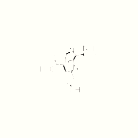 COCc1cc(C(C)C)n2cnc(C(N)=O)c2n1